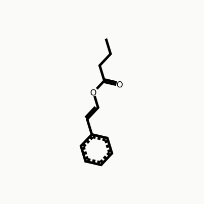 CCCC(=O)OC=Cc1ccccc1